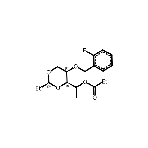 CCC(=O)OC(C)[C@H]1O[C@@H](CC)OC[C@H]1OCc1ccccc1F